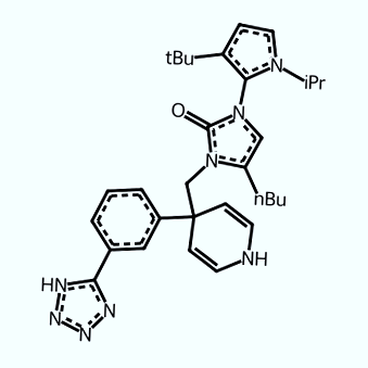 CCCCc1cn(-c2c(C(C)(C)C)ccn2C(C)C)c(=O)n1CC1(c2cccc(-c3nnn[nH]3)c2)C=CNC=C1